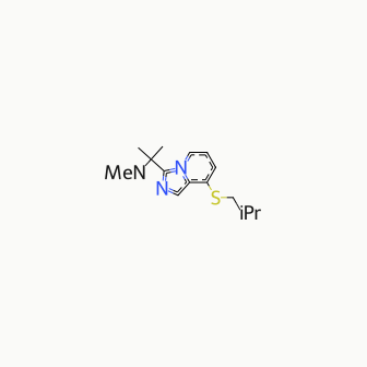 CNC(C)(C)c1ncc2c(SCC(C)C)cccn12